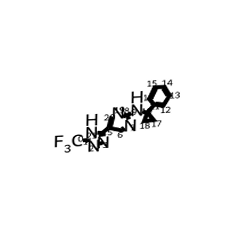 FC(F)(F)c1nnc(-c2cnc(NC3(c4ccccc4)CC3)nc2)[nH]1